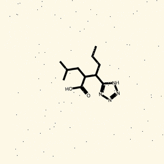 CCCC(c1nnn[nH]1)C(CC(C)C)C(=O)O